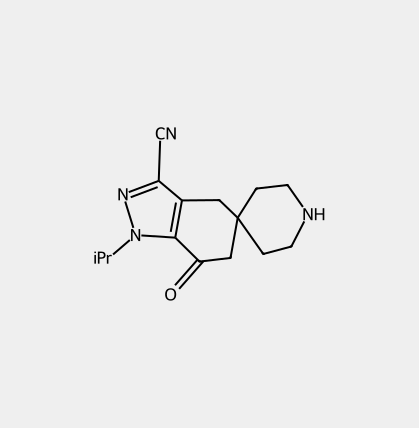 CC(C)n1nc(C#N)c2c1C(=O)CC1(CCNCC1)C2